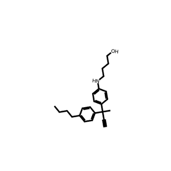 C#CC(C)(c1ccc(CCCC)cc1)c1ccc(NCCCCO)cc1